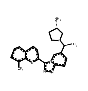 C[C@@H](c1ccc2nnc(-c3ccc4cccc(C(F)(F)F)c4n3)n2c1)N1CC[C@H](N)C1